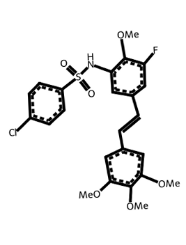 COc1cc(C=Cc2cc(F)c(OC)c(NS(=O)(=O)c3ccc(Cl)cc3)c2)cc(OC)c1OC